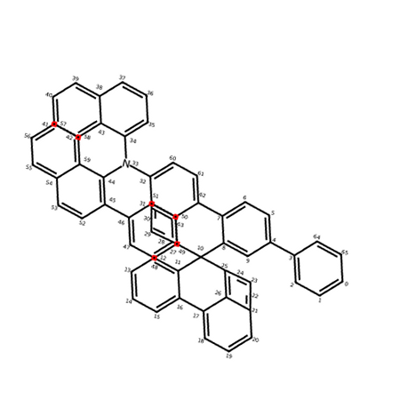 c1ccc(-c2ccc3c(c2)C2(c4ccccc4-c4cccc5cccc2c45)c2cccc4c(N(c5cccc6ccccc56)c5c(-c6ccccc6)ccc6ccccc56)ccc-3c24)cc1